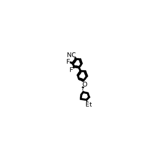 CC[C@H]1CC[C@H](COc2ccc(-c3ccc(C#N)c(F)c3F)cc2)CC1